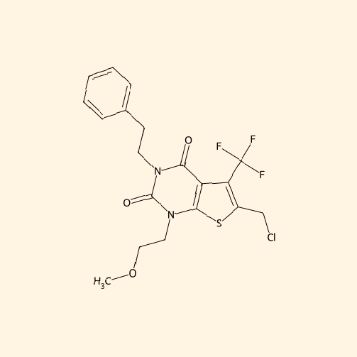 COCCn1c(=O)n(CCc2ccccc2)c(=O)c2c(C(F)(F)F)c(CCl)sc21